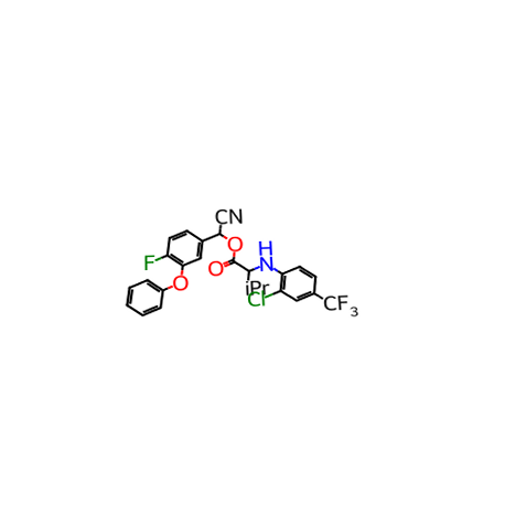 CC(C)C(Nc1ccc(C(F)(F)F)cc1Cl)C(=O)OC(C#N)c1ccc(F)c(Oc2ccccc2)c1